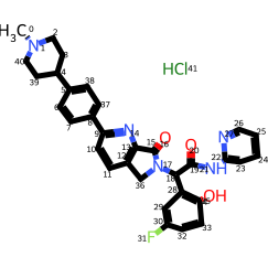 CN1CCC(c2ccc(-c3ccc4c(n3)C(=O)N(C(C(=O)Nc3ccccn3)c3cc(F)ccc3O)C4)cc2)CC1.Cl